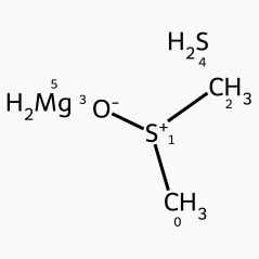 C[S+](C)[O-].S.[MgH2]